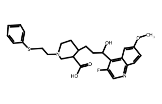 COc1ccc2ncc(F)c(C(O)CCC3CCN(CCSc4ccccc4)CC3C(=O)O)c2c1